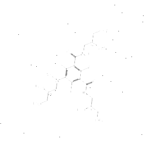 CC(=O)N(C[C@H](O)CO)c1c(I)c(C(=O)NC[C@H](O)CO)c(I)c(C(=O)NC[C@H](O)CO)c1I